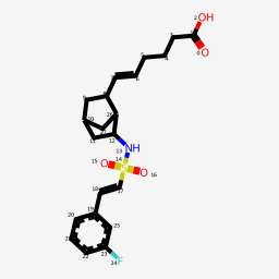 O=C(O)CCCC=CC1CC2CC(NS(=O)(=O)C=Cc3cccc(F)c3)C1C2